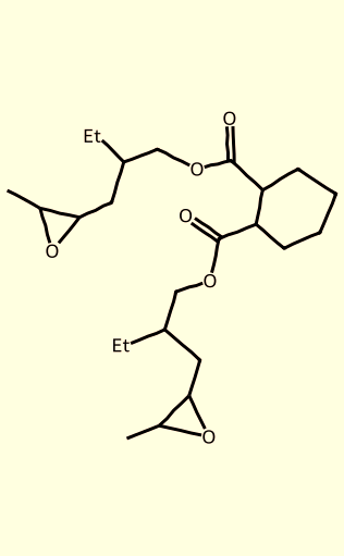 CCC(COC(=O)C1CCCCC1C(=O)OCC(CC)CC1OC1C)CC1OC1C